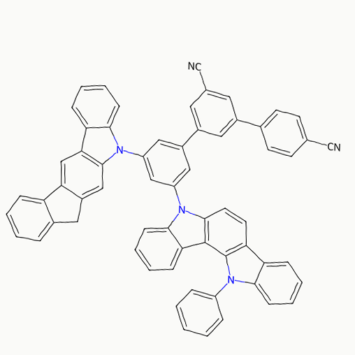 N#Cc1ccc(-c2cc(C#N)cc(-c3cc(-n4c5ccccc5c5cc6c(cc54)Cc4ccccc4-6)cc(-n4c5ccccc5c5c4ccc4c6ccccc6n(-c6ccccc6)c45)c3)c2)cc1